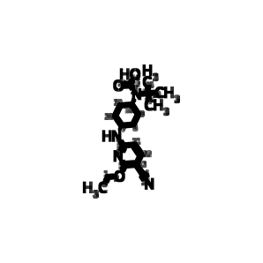 CCOc1nc(N[C@H]2CC[C@H](N(C(=O)O)C(C)(C)C)CC2)ccc1C#N